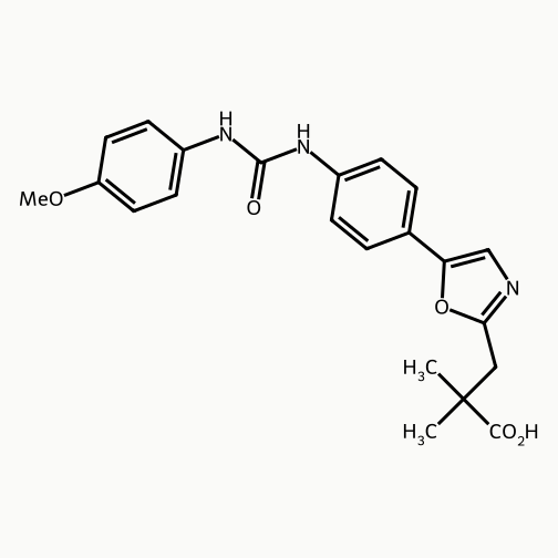 COc1ccc(NC(=O)Nc2ccc(-c3cnc(CC(C)(C)C(=O)O)o3)cc2)cc1